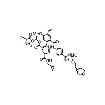 C=Cc1cc(C(=O)Nc2ccc(C(=N)NC(=O)OCCN3CCOCC3)cc2)c(-c2ccc(C(=O)NCC3CC3)nc2C(=O)OC(C)OC(=O)C(N)C(C)C)cc1OC